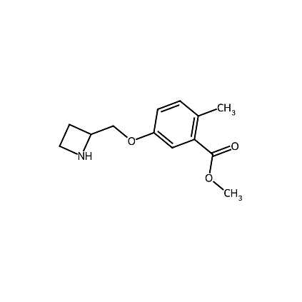 COC(=O)c1cc(OCC2CCN2)ccc1C